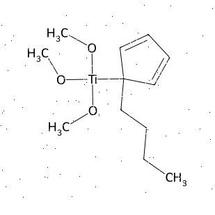 CCCC[C]1([Ti]([O]C)([O]C)[O]C)C=CC=C1